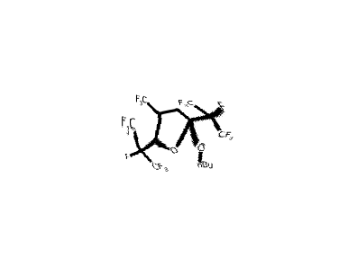 CCCCOC1(C(F)(C(F)(F)F)C(F)(F)F)CC(C(F)(F)F)C(C(F)(C(F)(F)F)C(F)(F)F)O1